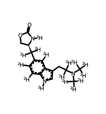 [2H]c1c(C([2H])([2H])[C@H]2COC(=O)N2[2H])c([2H])c2c(CC([2H])([2H])N(C([2H])([2H])[2H])C([2H])([2H])[2H])cn([2H])c2c1[2H]